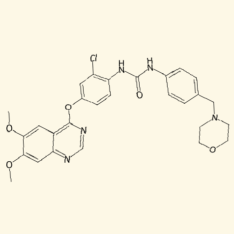 COc1cc2ncnc(Oc3ccc(NC(=O)Nc4ccc(CN5CCOCC5)cc4)c(Cl)c3)c2cc1OC